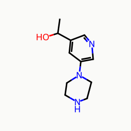 CC(O)c1cncc(N2CCNCC2)c1